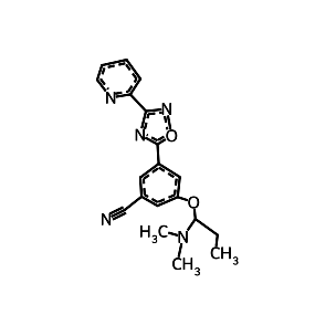 CCC(Oc1cc(C#N)cc(-c2nc(-c3ccccn3)no2)c1)N(C)C